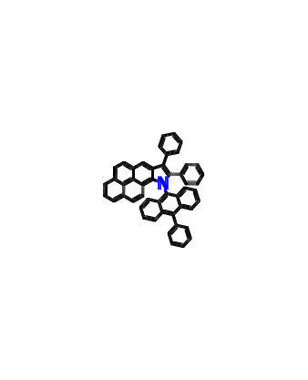 c1ccc(-c2c3ccccc3c(-n3c(-c4ccccc4)c(-c4ccccc4)c4cc5ccc6cccc7ccc(c5c67)c43)c3ccccc23)cc1